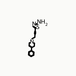 Nc1ncc(C#CCCN2CC=C(c3ccccc3)CC2)s1